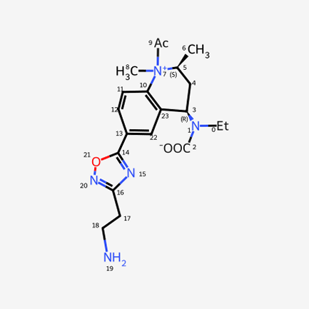 CCN(C(=O)[O-])[C@@H]1C[C@H](C)[N+](C)(C(C)=O)c2ccc(-c3nc(CCN)no3)cc21